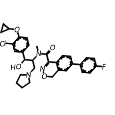 CN(C(=O)C1=NOCc2cc(-c3ccc(F)cc3)ccc21)C(CN1CCCC1)C(O)c1ccc(OC2CC2)c(Cl)c1